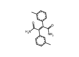 Cc1cccc(C(C(N)=O)=C(C(N)=O)c2cccc(C)c2)c1